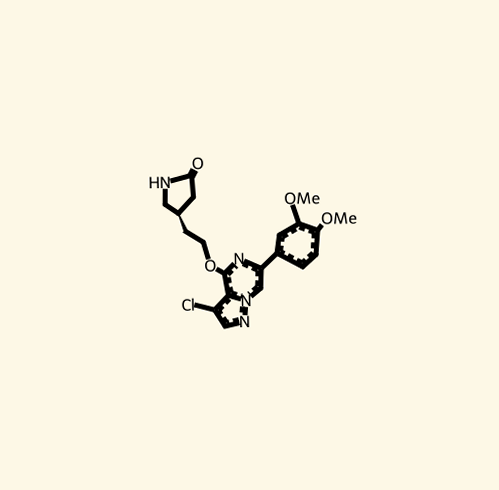 COc1ccc(-c2cn3ncc(Cl)c3c(OCC[C@H]3CNC(=O)C3)n2)cc1OC